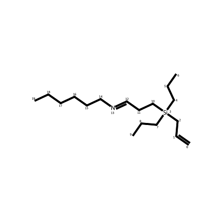 C=CC[Si](CCC)(CCC)CCC=NCCCCCC